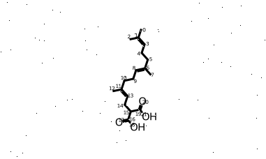 CC(C)=CCCC(C)=CCCC(C)=CCC(C(=O)O)C(=O)O